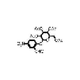 CC(=O)OC[C@H]1O[C@H](Oc2ccc([N+](=O)[O-])cc2C=O)[C@H](OC(C)=O)[C@@H](OC(C)=O)[C@H]1OC(C)=O